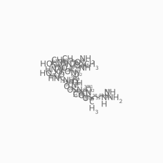 CC(O)[C@H](NC(=O)[C@H](CO)NC(=O)CNC(=O)[C@@H]1CCCN1C(=O)[C@H](C)NC(=O)[C@@H]1CCCN1C(=O)[C@@H](C)CCCNC(=N)N)C(=O)N[C@@H](C)C(=O)N1CCC[C@H]1C(=O)N1CCC[C@H]1C(=O)N[C@@H](C)C(N)=O